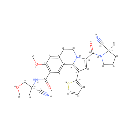 COc1cc2c(cc1C(=O)N[C@@]1(C#N)CCOC1)-c1c(-c3cccs3)cc(C(=O)N3CCC[C@]3(C)C#N)n1CC2